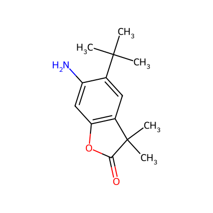 CC(C)(C)c1cc2c(cc1N)OC(=O)C2(C)C